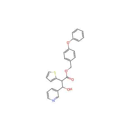 O=C(OCc1ccc(Oc2ccccc2)cc1)C(c1cccs1)C(O)c1cccnc1